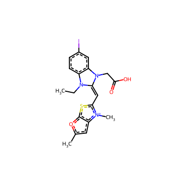 CCN1/C(=C\c2sc3oc(C)cc3[n+]2C)N(CC(=O)O)c2cc(I)ccc21